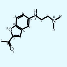 CC(=O)c1cc2cc(NCCN(C)C)ccc2o1